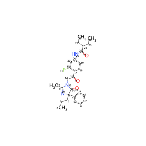 CCCC1(c2ccccc2)N=C(C)N(CC(=O)c2ccc(NC(=O)C(CC)CC)cc2F)C1=O